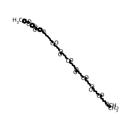 Cc1ccc(C(=O)Oc2ccc(OC(=O)c3ccc(OCCCCCCCCOC(=O)CCCCCOC(=O)CCCCCOC(=O)CCCCCOC(=O)CCCCCOC(=O)CCCCCOC(=O)CCCCCOC(=O)CCCCCOCC(C)C)cc3)cc2)cc1